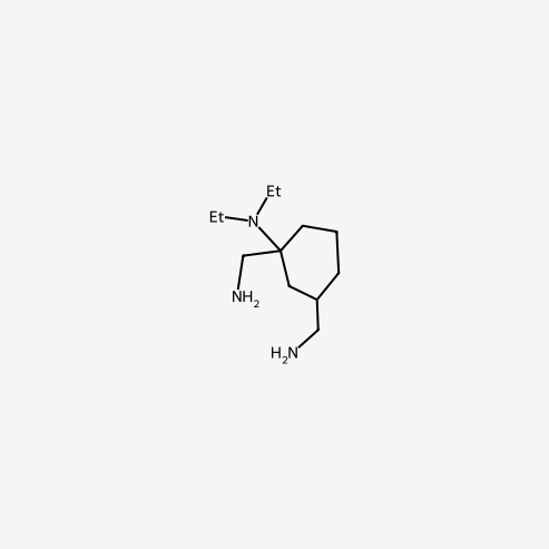 CCN(CC)C1(CN)CCCC(CN)C1